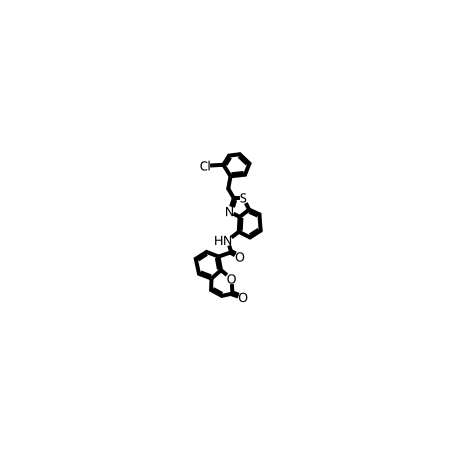 O=C(Nc1cccc2sc(Cc3ccccc3Cl)nc12)c1cccc2ccc(=O)oc12